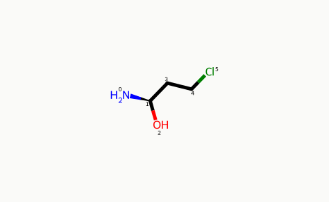 N[C@H](O)CCCl